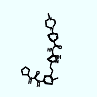 Cc1ccc(NC(=O)NC2CCCC2)cc1CCc1cc(NC(=O)c2ccc(N3CCN(C)CC3)cc2)[nH]n1